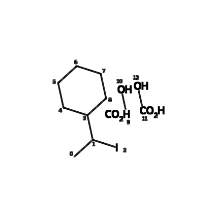 CC(I)C1CCCCC1.O=C(O)O.O=C(O)O